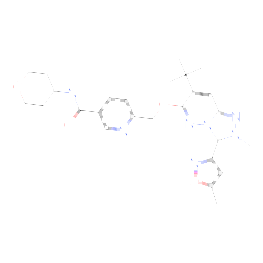 Cc1cc(C2N(C)N=C3C=C(C(C)(C)C)C(OCc4ccc(C(=O)NC5CCOCC5)cn4)=NN32)no1